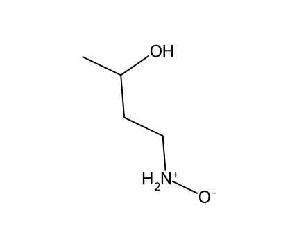 CC(O)CC[NH2+][O-]